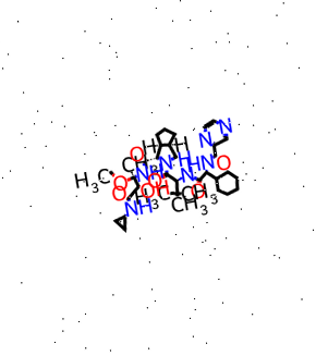 CCO[C@@](C)(NC(=O)[C@@H]1[C@H]2CCC[C@H]2CN1C(=O)[C@@H](NC(=O)[C@@H](NC(=O)c1cnccn1)C1CCCCC1)C(C)(C)C)C(O)C(=O)NC1CC1